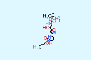 CCCCON1C(=O)N2C[C@H]1CC[C@H]2c1cc([C@@H](O)CNC(=O)OC(C)(C)C)on1